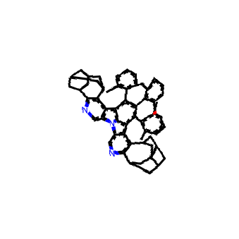 Cc1cccc(C)c1-c1c(-c2c(C)cccc2C)c2c3c4c(ncc3n3c5cnc6c(c5c(c1-c1c(C)cccc1C)c23)C1CC2CC3CC6CC32C1)C1CC2CC(C1)CC4C2